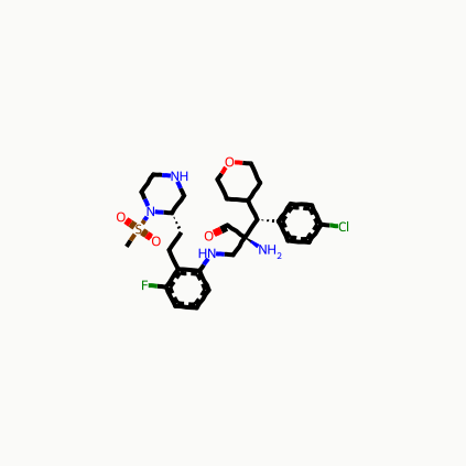 CS(=O)(=O)N1CCNC[C@@H]1CCc1c(F)cccc1NC[C@](N)(C=O)[C@@H](c1ccc(Cl)cc1)C1CCOCC1